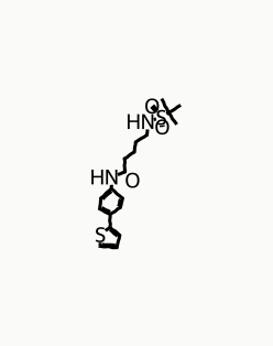 CC(C)(C)S(=O)(=O)NCCCCC(=O)Nc1ccc(-c2cccs2)cc1